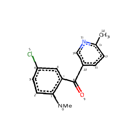 CNc1ccc(Cl)cc1C(=O)c1ccc(C)nc1